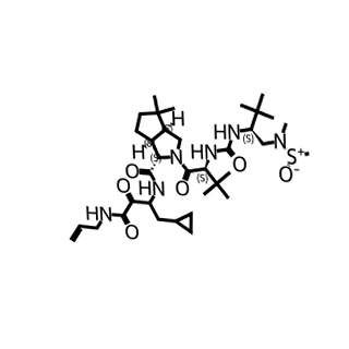 C=CCNC(=O)C(=O)C(CC1CC1)NC(=O)[C@@H]1[C@H]2CCC(C)(C)[C@H]2CN1C(=O)[C@@H](NC(=O)N[C@H](CN(C)[S+](C)[O-])C(C)(C)C)C(C)(C)C